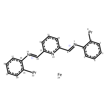 CC(C)c1ccccc1/N=C/c1cccc(/C=N/c2ccccc2C(C)C)n1.[Fe]